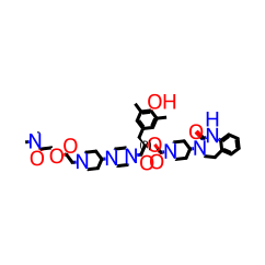 Cc1cc(C[C@@H](OC(=O)N2CCC(N3CCc4ccccc4NC3=O)CC2)C(=O)N2CCN(C3CCN(CC(=O)OCC(=O)N(C)C)CC3)CC2)cc(C)c1O